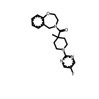 CC1(C(=O)N2CCOc3ccccc3C2)CCN(c2ncc(F)cn2)CC1